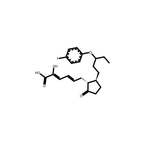 CCC(CC[C@H]1CCC(=O)[C@@H]1CC=CC=C(O)C(=O)O)Oc1ccc(F)cc1